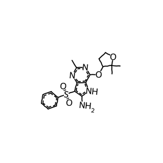 Cc1nc(OC2CCOC2(C)C)c2[nH]c(N)c(S(=O)(=O)c3ccccc3)c2n1